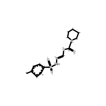 Cc1ccc(S(=O)(=O)NN=COC(=O)N2CCCCC2)cc1